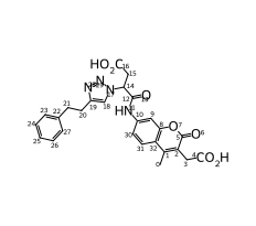 Cc1c(CC(=O)O)c(=O)oc2cc(NC(=O)C(CC(=O)O)n3cc(CCc4ccccc4)nn3)ccc12